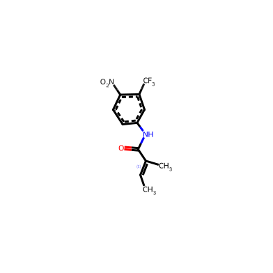 C/C=C(\C)C(=O)Nc1ccc([N+](=O)[O-])c(C(F)(F)F)c1